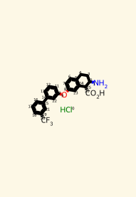 Cl.NC1CCc2ccc(Oc3cccc(-c4cccc(C(F)(F)F)c4)c3)cc2C1C(=O)O